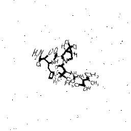 C=C(C)[C@H](NC(=O)N[C@H](C(=O)N1C[C@H]2[C@@H]([C@H]1C(=O)NC(CC1CCC1)C(=O)C(N)=O)C2(Cl)Cl)C(C)(C)C)C(=O)O